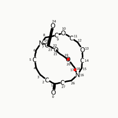 O=C1CCCCCN2CCOCCOCCN(CCOCCOC(=O)C2)CC1